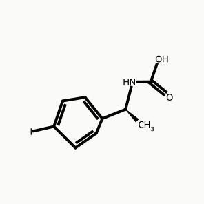 C[C@H](NC(=O)O)c1ccc(I)cc1